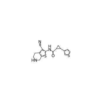 N#Cc1c(NC(=O)C2CC2c2ccsc2)sc2c1CCNC2